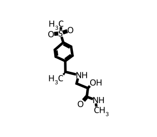 CNC(=O)C(O)CN[C@@H](C)c1ccc(S(C)(=O)=O)cc1